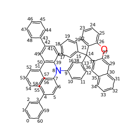 c1ccc(-c2ccc(N(c3cccc(C4(c5ccccc5)c5ccccc5Oc5cc6ccccc6cc54)c3)c3ccc(-c4ccccc4)cc3-c3ccccc3)cc2)cc1